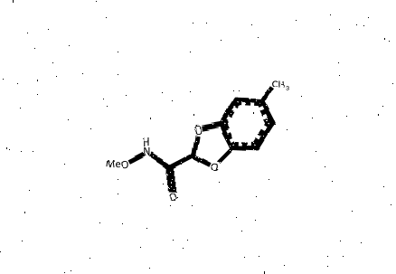 CONC(=O)C1Oc2ccc(C)cc2O1